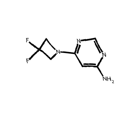 Nc1cc(N2CC(F)(F)C2)ncn1